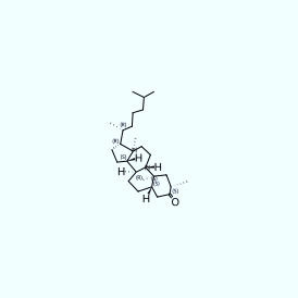 CC(C)CCC[C@@H](C)[C@H]1CC[C@H]2[C@@H]3CC[C@H]4CC(=O)[C@@H](C)C[C@]4(C)[C@H]3CC[C@]12C